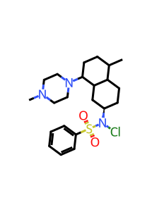 CC1CCC(N2CCN(C)CC2)C2C[C@H](N(Cl)S(=O)(=O)c3ccccc3)CCC12